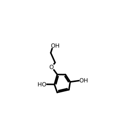 OCCOc1cc(O)ccc1O